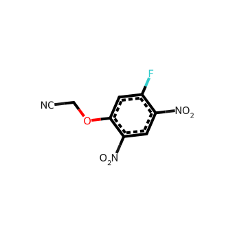 N#CCOc1cc(F)c([N+](=O)[O-])cc1[N+](=O)[O-]